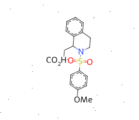 COc1ccc(S(=O)(=O)N2CCc3ccccc3C2CC(=O)O)cc1